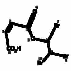 O=C(O)/C=C\C(=O)OC(Br)C(Br)Br